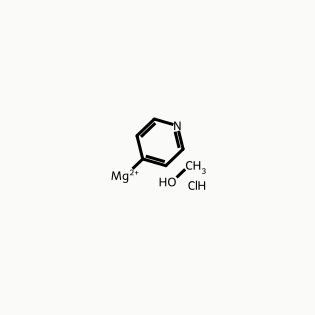 CO.Cl.[Mg+2][c]1ccncc1